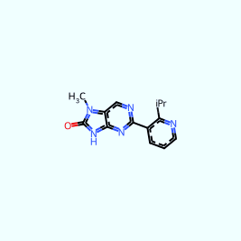 CC(C)c1ncccc1-c1ncc2c(n1)[nH]c(=O)n2C